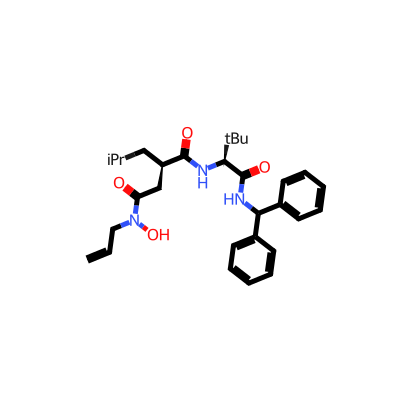 C=CCN(O)C(=O)C[C@@H](CC(C)C)C(=O)N[C@H](C(=O)NC(c1ccccc1)c1ccccc1)C(C)(C)C